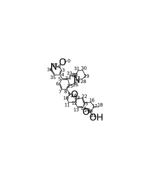 COc1cc(-c2ccc(C3CCc4ccc(CC(C)C(=O)O)cc4O3)c(CN3CCCC[C@@H]3C)c2)ccn1